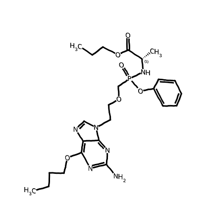 CCCCOc1nc(N)nc2c1ncn2CCOCP(=O)(N[C@@H](C)C(=O)OCCC)Oc1ccccc1